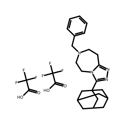 O=C(O)C(F)(F)F.O=C(O)C(F)(F)F.c1ccc(CN2CCc3nnc(C45CC6CC(CC(C6)C4)C5)n3CC2)cc1